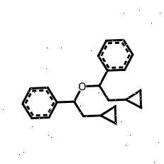 c1ccc(C(CC2CC2)OC(CC2CC2)c2ccccc2)cc1